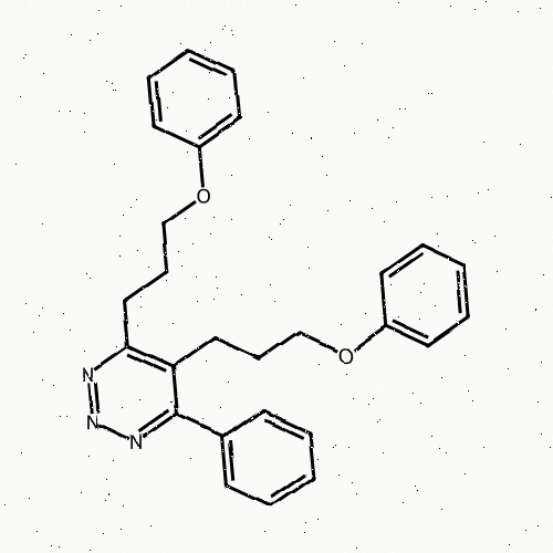 c1ccc(OCCCc2nnnc(-c3ccccc3)c2CCCOc2ccccc2)cc1